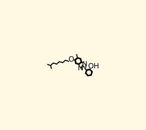 Cc1cc2nn(-c3ccccc3O)nc2cc1OCCCCCCC(C)C